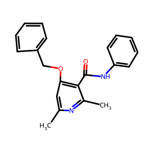 Cc1cc(OCc2ccccc2)c(C(=O)Nc2ccccc2)c(C)n1